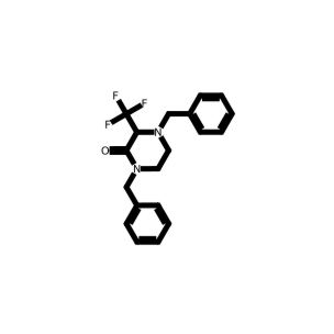 O=C1C(C(F)(F)F)N(Cc2ccccc2)CCN1Cc1ccccc1